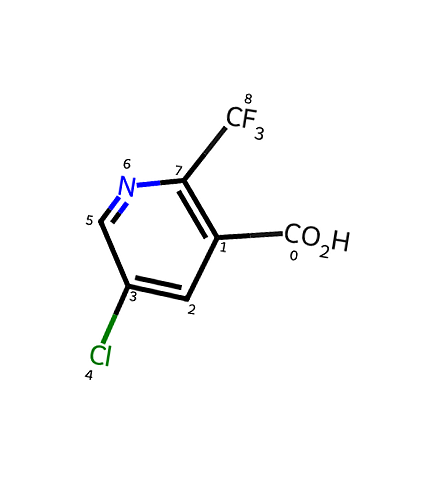 O=C(O)c1cc(Cl)cnc1C(F)(F)F